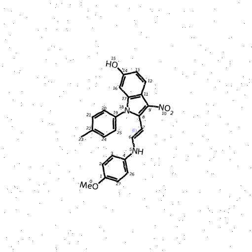 COc1ccc(N/C=C/c2c([N+](=O)[O-])c3ccc(O)cc3n2-c2ccc(C)cc2)cc1